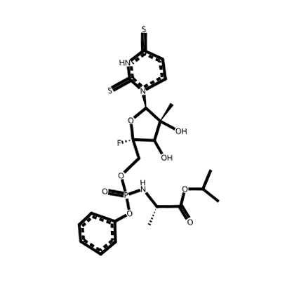 CC(C)OC(=O)[C@H](C)NP(=O)(OC[C@@]1(F)O[C@@H](n2ccc(=S)[nH]c2=S)[C@](C)(O)C1O)Oc1ccccc1